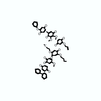 C=CCOC1=CC(=O)C=CC1=O.CCCCOC1=CC(=O)C(OCCCC)=CC1=O.COC1=C(OC)C(=O)C(C)=CC1=O.COC1=CC(=O)C(=O)C=C1.O=C1C=CC(=O)C(Oc2ccccc2)=C1.O=C1C=CC(=O)C=C1.c1ccc(-c2ccccc2)cc1